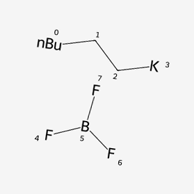 CCCCC[CH2][K].FB(F)F